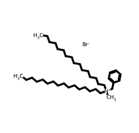 CCCCCCCCCCCCCCCC[N+](C)(CCCCCCCCCCCCCCCC)Cc1ccccc1.[Br-]